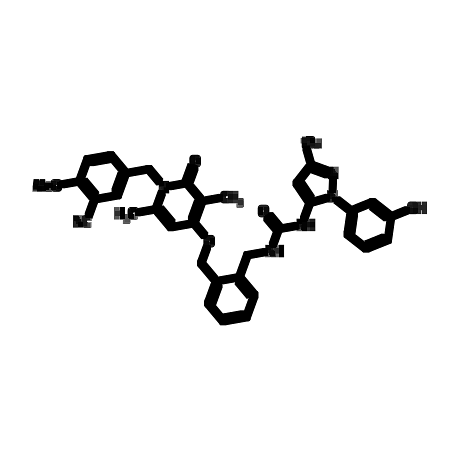 COc1ccc(Cn2c(C)cc(OCc3ccccc3CNC(=O)Nc3cc(C(C)(C)C)nn3-c3cccc(O)c3)c(C)c2=O)cc1C#N